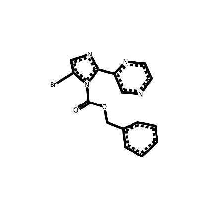 O=C(OCc1ccccc1)n1c(Br)cnc1-c1cnccn1